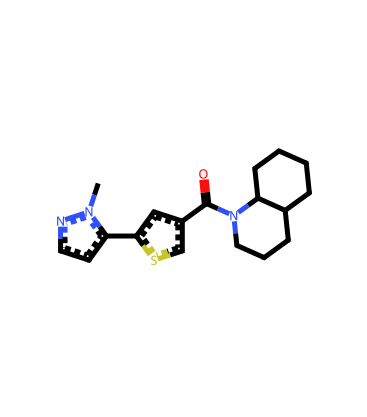 Cn1nccc1-c1cc(C(=O)N2CCCC3CCCCC32)cs1